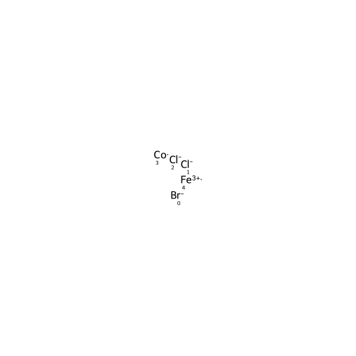 [Br-].[Cl-].[Cl-].[Co].[Fe+3]